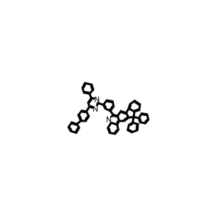 c1ccc(-c2ccc(-c3cc(-c4ccccc4)nc(-c4cccc(-c5nc6ccccc6c6cc7c(cc56)-c5ccccc5C7(c5ccccc5)c5ccccc5)c4)n3)cc2)cc1